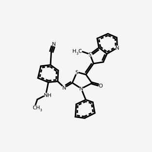 CCNc1ccc(C#N)cc1N=C1SC(=C2C=c3ncccc3=S2C)C(=O)N1c1ccccc1